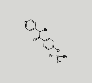 CC(C)[Si](Oc1ccc(C(=O)C(Br)c2ccncc2)cc1)(C(C)C)C(C)C